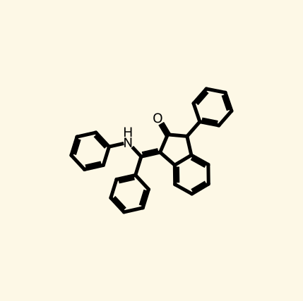 O=C1/C(=C(\Nc2ccccc2)c2ccccc2)c2ccccc2C1c1ccccc1